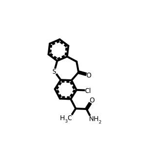 CC(C(N)=O)c1ccc2c(c1Cl)C(=O)Cc1ccccc1S2